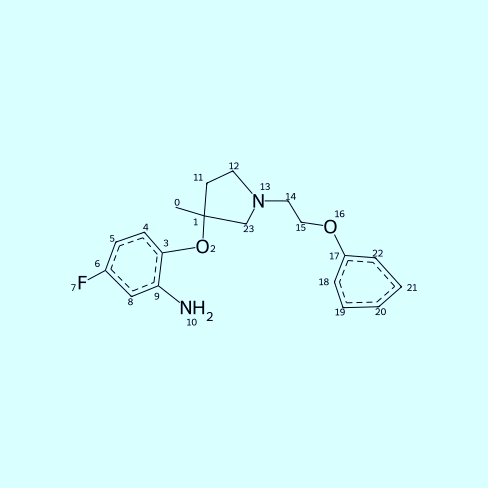 CC1(Oc2ccc(F)cc2N)CCN(CCOc2ccccc2)C1